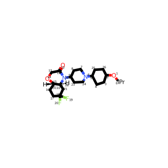 CC(C)OC1CCC(N2CCC(N3C(=O)CO[C@H]4CCC(F)(F)C[C@@H]43)CC2)CC1